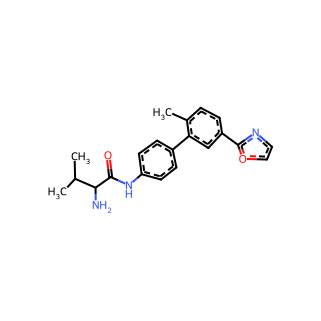 Cc1ccc(-c2ncco2)cc1-c1ccc(NC(=O)C(N)C(C)C)cc1